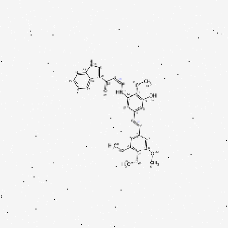 COc1cc(/C=C/c2cc(O)c(OC)c(N/C=C\C(=O)c3c[nH]c4ccccc34)c2)cc(OC)c1OC